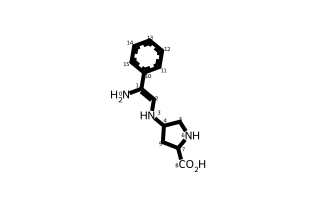 N/C(=C\NC1CNC(C(=O)O)C1)c1ccccc1